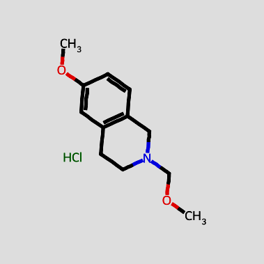 COCN1CCc2cc(OC)ccc2C1.Cl